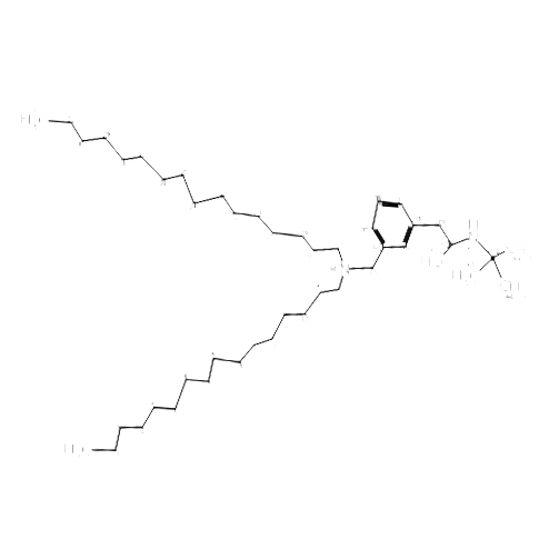 CCCCCCCCCCCCCCCCN(CCCCCCCCCCCCCCCC)Cc1cccc(CC(O)NC(C)(C)C)c1